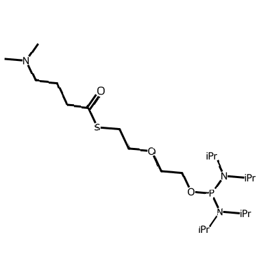 CC(C)N(C(C)C)P(OCCOCCSC(=O)CCCN(C)C)N(C(C)C)C(C)C